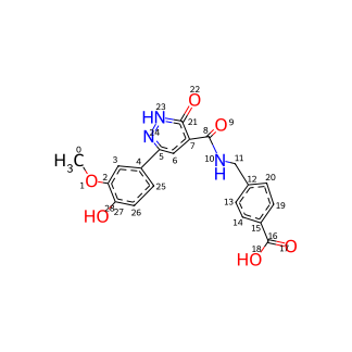 COc1cc(-c2cc(C(=O)NCc3ccc(C(=O)O)cc3)c(=O)[nH]n2)ccc1O